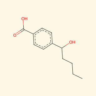 CCCCC(O)c1ccc(C(=O)O)cc1